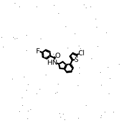 O=C(NC1Cc2cccc(-c3ccc(Cl)s3)c2C1)c1ccc(F)cc1